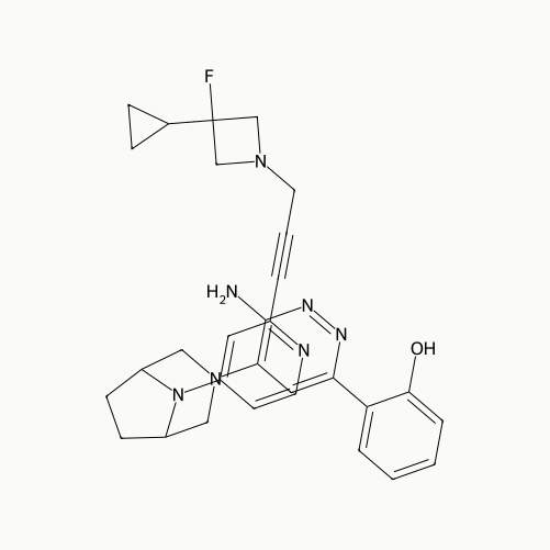 Nc1nnc(-c2ccccc2O)cc1N1CC2CCC(C1)N2c1ccnc(C#CCN2CC(F)(C3CC3)C2)c1